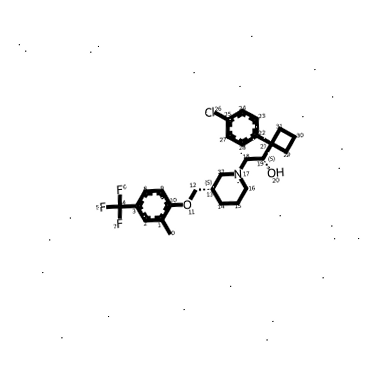 Cc1cc(C(F)(F)F)ccc1OC[C@H]1CCCN(C[C@@H](O)C2(c3ccc(Cl)cc3)CCC2)C1